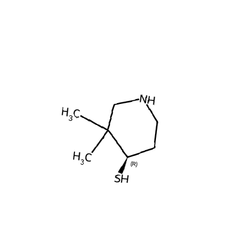 CC1(C)CNCC[C@H]1S